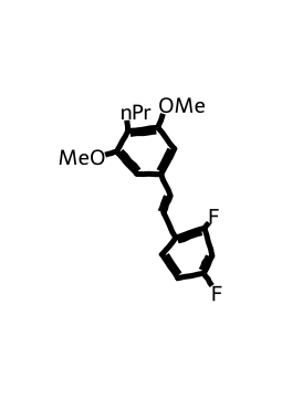 CCCc1c(OC)cc(C=Cc2ccc(F)cc2F)cc1OC